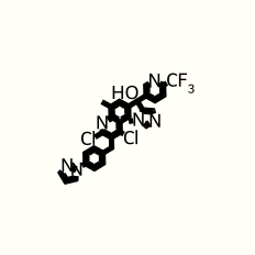 Cc1cc(C(O)(c2ccc(C(F)(F)F)nc2)c2cncn2C)cc2c(Cl)c(Cc3ccc(-n4cccn4)cc3)c(Cl)nc12